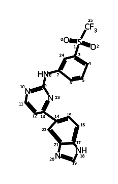 O=S(=O)(c1cccc(Nc2nccc(-c3ccc4[nH]cnc4c3)n2)c1)C(F)(F)F